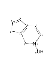 ON1C=CC2=C(CC=C2)C1